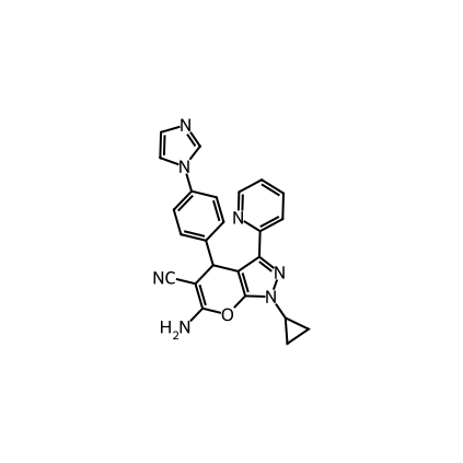 N#CC1=C(N)Oc2c(c(-c3ccccn3)nn2C2CC2)C1c1ccc(-n2ccnc2)cc1